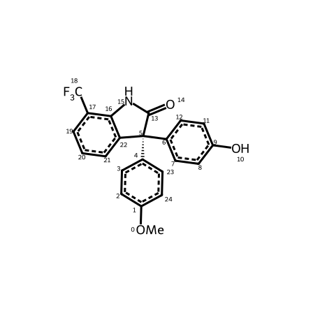 COc1ccc([C@@]2(c3ccc(O)cc3)C(=O)Nc3c(C(F)(F)F)cccc32)cc1